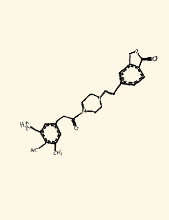 Cc1cc(CC(=O)N2CCN(CCc3ccc4c(c3)COC4=O)CC2)cc(C)c1C#N